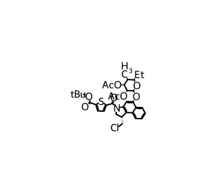 CC[C@H]1O[C@@H](Oc2cc3c(c4ccccc24)[C@H](CCl)CN3C(=O)c2ccc(C(=O)OC(C)(C)C)s2)[C@H](OC(C)=O)[C@@H](OC(C)=O)[C@H]1C